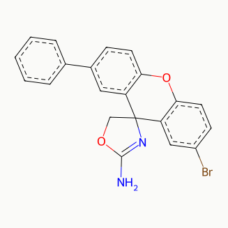 NC1=NC2(CO1)c1cc(Br)ccc1Oc1ccc(-c3ccccc3)cc12